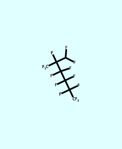 F[C](F)C(F)(C(F)(F)F)C(F)(F)C(F)(F)C(F)(F)C(F)(F)F